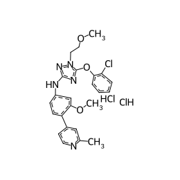 COCCn1nc(Nc2ccc(-c3ccnc(C)c3)c(OC)c2)nc1Oc1ccccc1Cl.Cl.Cl